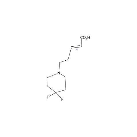 O=C(O)/C=C/CCN1CCC(F)(F)CC1